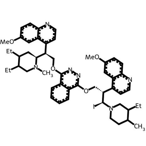 CCC1CN([C@@H](I)[C@H](COc2nnc(OC[C@H](c3ccnc4ccc(OC)cc34)[C@@H]3CC(CC)C(CC)CN3C)c3ccccc23)c2ccnc3ccc(OC)cc23)CCC1C